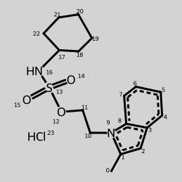 Cc1cc2ccccc2n1CCOS(=O)(=O)NC1CCCCC1.Cl